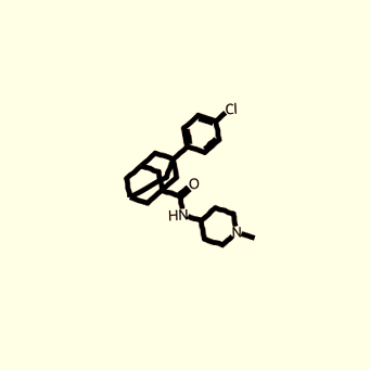 CN1CCC(NC(=O)C23CC4CC(C2)CC(c2ccc(Cl)cc2)(C4)C3)CC1